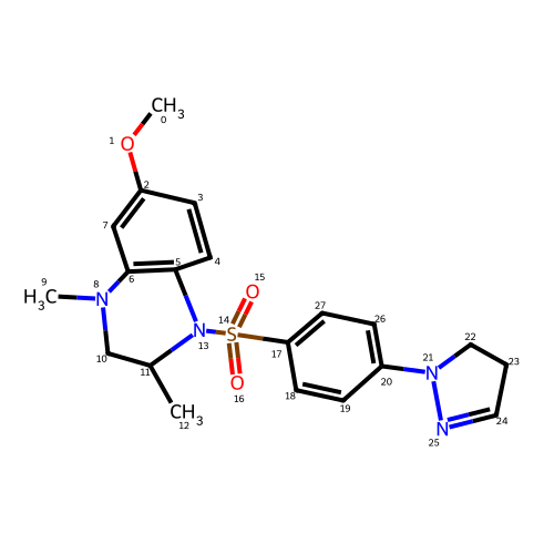 COc1ccc2c(c1)N(C)CC(C)N2S(=O)(=O)c1ccc(N2CCC=N2)cc1